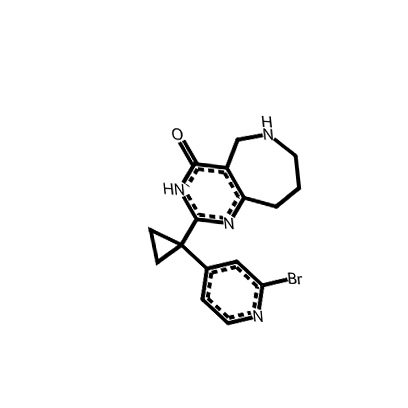 O=c1[nH]c(C2(c3ccnc(Br)c3)CC2)nc2c1CNCCC2